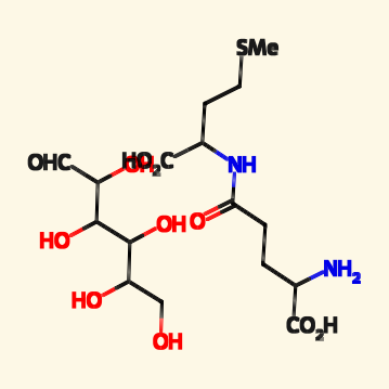 CSCCC(NC(=O)CCC(N)C(=O)O)C(=O)O.O=CC(O)C(O)C(O)C(O)CO